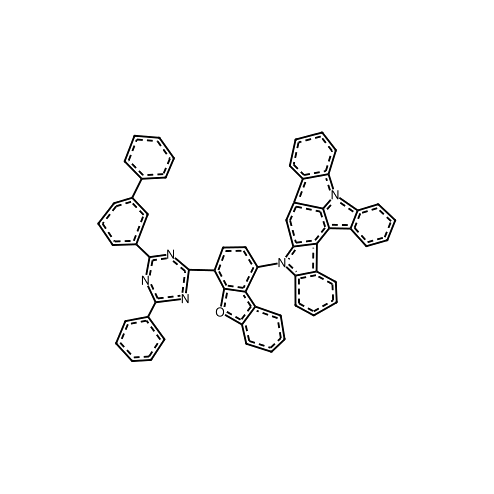 c1ccc(-c2cccc(-c3nc(-c4ccccc4)nc(-c4ccc(-n5c6ccccc6c6c7c8ccccc8n8c9ccccc9c(cc65)c78)c5c4oc4ccccc45)n3)c2)cc1